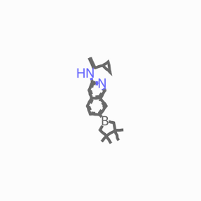 C=C(Nc1cc2ccc(B3CC(C)(C)C(C)(C)C3)cc2cn1)C1CC1